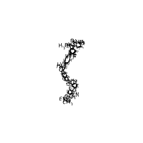 CCN(C)S(=O)(=O)Nc1ccc(F)c(Oc2ccc3ncn([C@@H]4COC5(CCN(C(=O)CC6(O)CCN(c7cc8c(cc7F)c(N7CCC(=O)NC7=O)nn8C)CC6)CC5)C4)c(=O)c3c2)c1C#N